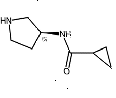 O=C(N[C@H]1CCNC1)C1CC1